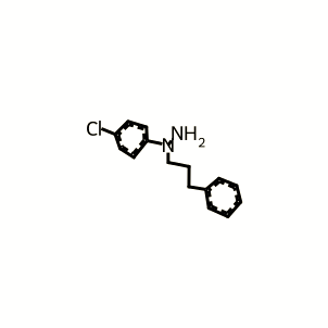 NN(CCCc1ccccc1)c1ccc(Cl)cc1